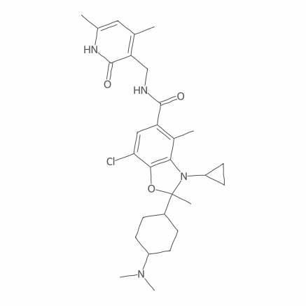 Cc1cc(C)c(CNC(=O)c2cc(Cl)c3c(c2C)N(C2CC2)C(C)(C2CCC(N(C)C)CC2)O3)c(=O)[nH]1